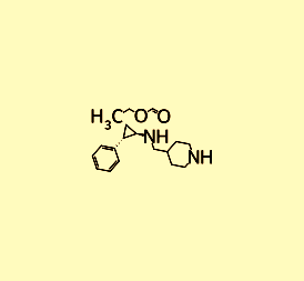 CCOC=O.c1ccc([C@@H]2C[C@H]2NCC2CCNCC2)cc1